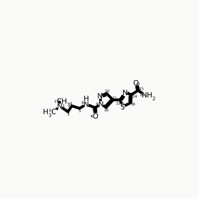 CN(C)CCCNC(=O)n1cc(-c2nc(C(N)=O)cs2)cn1